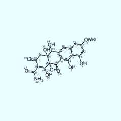 COc1cc(O)c2c(O)c3c(cc2c1)C(O)C1(O)CC(=O)C(C(N)=O)=C(O)C1(O)C3=O